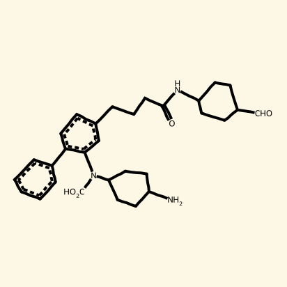 NC1CCC(N(C(=O)O)c2cc(CCCC(=O)NC3CCC(C=O)CC3)ccc2-c2ccccc2)CC1